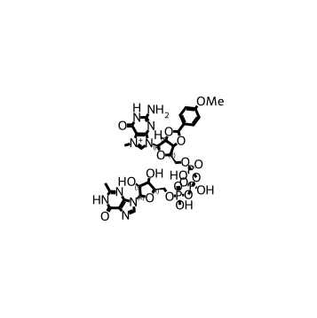 COc1ccc(C2OC3[C@@H](COP(=O)(O)OP(=O)(O)OP(=O)(O)OC[C@H]4O[C@@H](n5cnc6c(=O)[nH]c(C)nc65)[C@@H](O)C4O)O[C@@H](n4c[n+](C)c5c(=O)[nH]c(N)nc54)[C@H]3O2)cc1